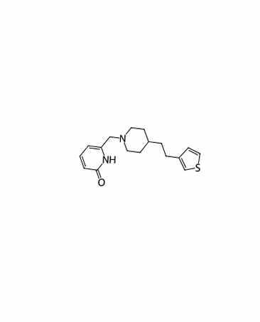 O=c1cccc(CN2CCC(CCc3ccsc3)CC2)[nH]1